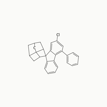 Clc1cc(-c2ccccc2)c2c(c1)C1(c3ccccc3-2)C2CC3CC4CC1C42C3